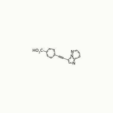 O=C(O)c1ccc(C#Cc2cnc3cccnn23)cc1